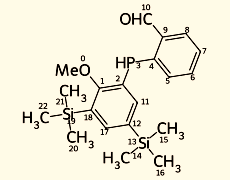 COc1c(Pc2ccccc2C=O)cc([Si](C)(C)C)cc1[Si](C)(C)C